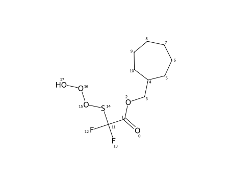 O=C(OCC1CCCCCC1)C(F)(F)SOOO